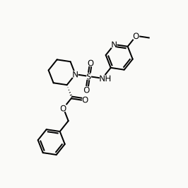 COc1ccc(NS(=O)(=O)N2CCCC[C@H]2C(=O)OCc2ccccc2)cn1